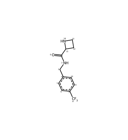 O=C(NCc1ccc(C(F)(F)F)cc1)C1CCN1